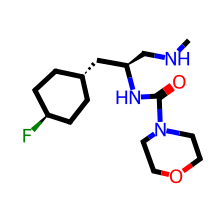 CNC[C@H](C[C@H]1CC[C@H](F)CC1)NC(=O)N1CCOCC1